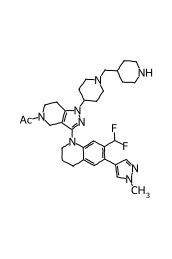 CC(=O)N1CCc2c(c(N3CCCc4cc(-c5cnn(C)c5)c(C(F)F)cc43)nn2C2CCN(CC3CCNCC3)CC2)C1